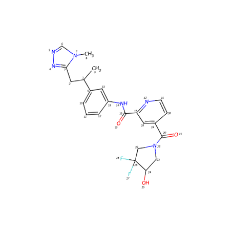 CC(Cc1nncn1C)c1cccc(NC(=O)c2cc(C(=O)N3CC(O)C(F)(F)C3)ccn2)c1